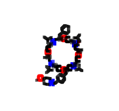 COC1CCN(Cc2ccc(C[C@@H]3CN(C)[C@@H](CC(C)C)CO[C@H](C)CN(C)[C@@H](CC(C)C)CO[C@H](Cc4ccccc4)CN(C)[C@@H](CC(C)C)CO[C@H](C)CN(C)[C@@H](CC(C)C)CO3)cc2)CC1